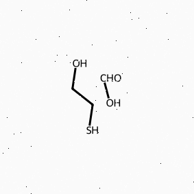 O=CO.OCCS